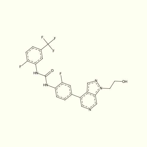 O=C(Nc1ccc(-c2cncc3c2cnn3CCO)cc1F)Nc1cc(C(F)(F)F)ccc1F